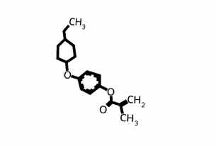 C=C(C)C(=O)Oc1ccc(OC2CCC(CC)CC2)cc1